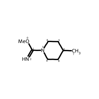 COC(=N)N1CCC(C)CC1